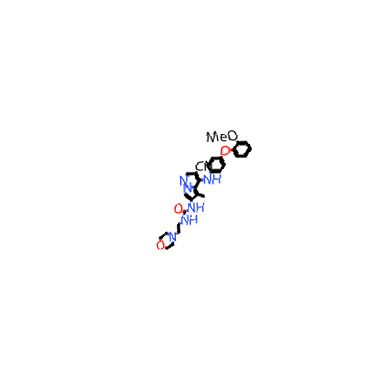 COc1ccccc1Oc1ccc(Nc2c(C#N)cnn3cc(NC(=O)NCCN4CCOCC4)c(C)c23)cc1